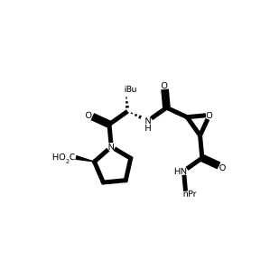 CCCNC(=O)C1OC1C(=O)N[C@H](C(=O)N1CCC[C@H]1C(=O)O)[C@@H](C)CC